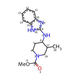 COC(=O)N1CCC(Nc2nc3ccccc3[nH]2)C(C)C1